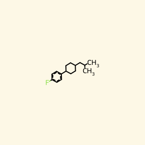 CC(C)CC1CCC(c2ccc(F)cc2)CC1